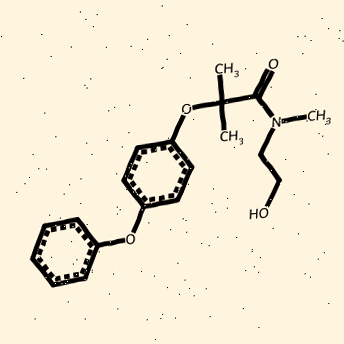 CN(CCO)C(=O)C(C)(C)Oc1ccc(Oc2ccccc2)cc1